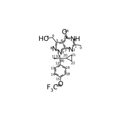 Cc1nc2c(c(CO)nn2[C@@](C)(c2ccc(OC(F)(F)F)cc2)C2CC2)c(=O)[nH]1